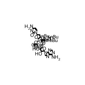 CCCC[N+](CCCC)(CCCC)CCCC.Nc1ccn([C@H]2C[C@H](OP(=O)(O)OC[C@H]3O[C@@H](n4cnc5c(N)ncnc54)[C@H](O)[C@@H]3O)[C@@H](COP(=O)(O)O)O2)c(=O)n1